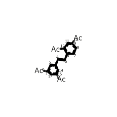 CC(=O)c1cc(C=Cc2ccc(C(C)=O)cc2C(C)=O)cc(C(C)=O)c1